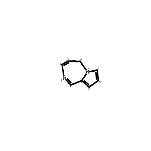 C1=CN=Cc2cccn2C1